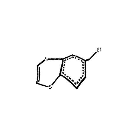 CCc1ccc2c(c1)SC=CS2